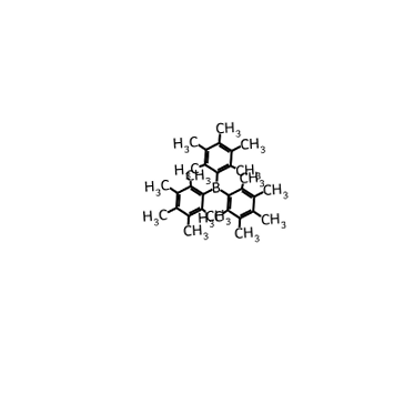 Cc1c(C)c(C)c(B(c2c(C)c(C)c(C)c(C)c2C)c2c(C)c(C)c(C)c(C)c2C)c(C)c1C